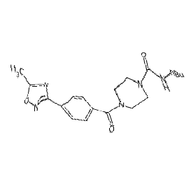 CCCCNC(=O)N1CCN(C(=O)c2ccc(-c3noc(C)n3)cc2)CC1